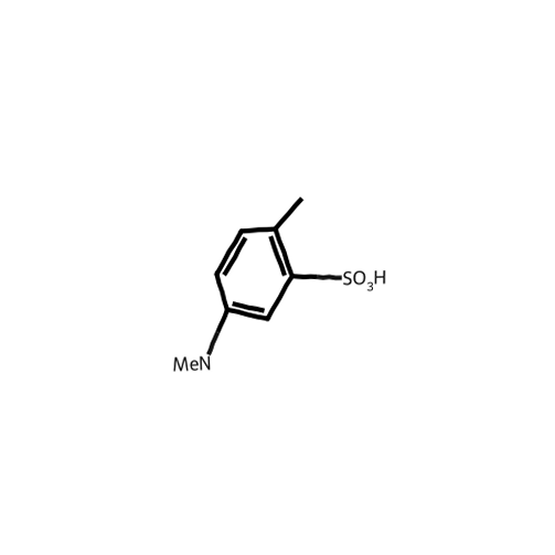 CNc1ccc(C)c(S(=O)(=O)O)c1